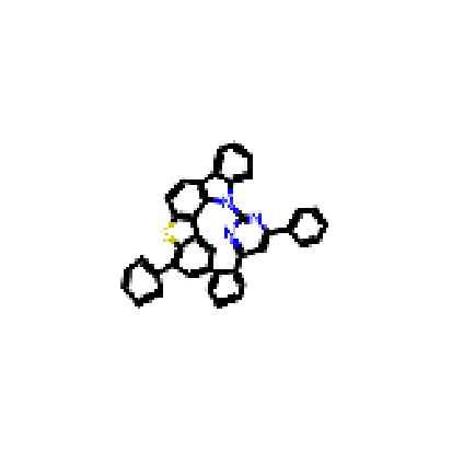 c1ccc(-c2cc(-c3ccccc3)nc(-n3c4ccccc4c4ccc5sc6c(-c7ccccc7)cccc6c5c43)n2)cc1